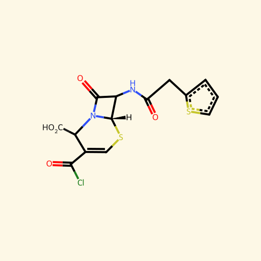 O=C(Cc1cccs1)NC1C(=O)N2C(C(=O)O)C(C(=O)Cl)=CS[C@@H]12